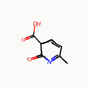 CC1=NC(=O)C(C(=O)O)C=C1